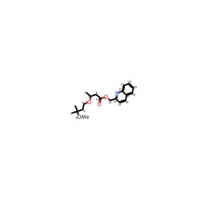 COC(C)(C)CCOC(C)CC(=O)OCc1ccc2ccccc2n1